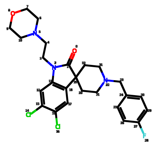 O=C1N(CCN2CCOCC2)c2cc(Cl)c(Cl)cc2C12CCN(Cc1ccc(F)cc1)CC2